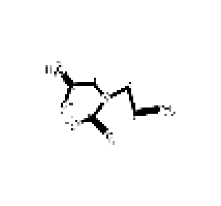 C=CCN(CC(=C)O)C(N)=O